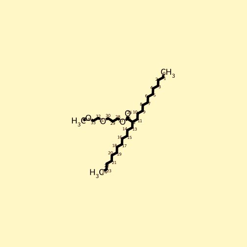 CCCCCCCCCCCCC(CCCCCCCCCCCC)C(=O)OCCCOCCOC